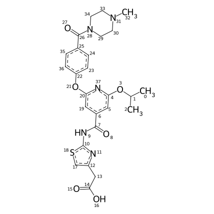 CC(C)Oc1cc(C(=O)Nc2nc(CC(=O)O)cs2)cc(Oc2ccc(C(=O)N3CCN(C)CC3)cc2)n1